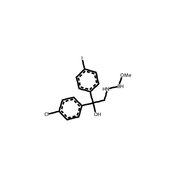 COBNCC(O)(c1ccc(Cl)cc1)c1ccc(I)cc1